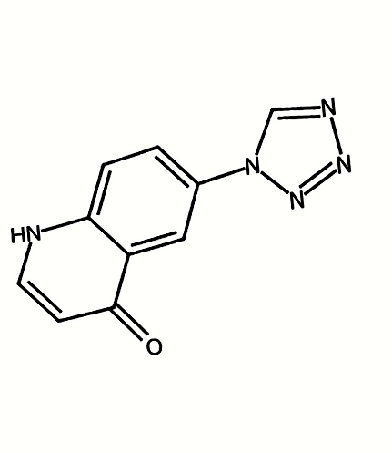 O=c1cc[nH]c2ccc(-n3cnnn3)cc12